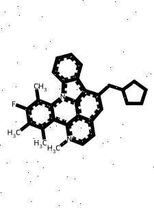 Cc1c(F)c(C)c2c(c1C)c1c3c(cc[n+]1C)cc(CC1CCCC1)c1c4ccccc4n2c13